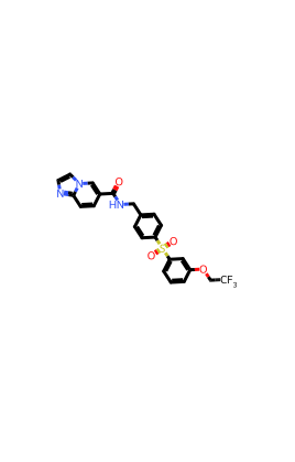 O=C(NCc1ccc(S(=O)(=O)c2cccc(OCC(F)(F)F)c2)cc1)c1ccc2nccn2c1